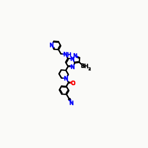 Bc1cnn2c(NCc3cccnc3)cc(C3CCCN(C(=O)c4cccc(C#N)c4)C3)nc12